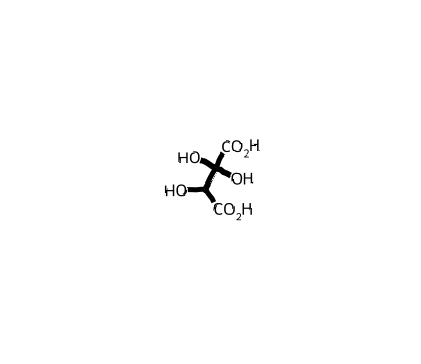 O=C(O)C(O)C(O)(O)C(=O)O